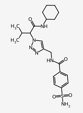 CC(C)C(C(=O)NC1CCCCC1)n1cc(CNC(=O)c2ccc(S(N)(=O)=O)cc2)nn1